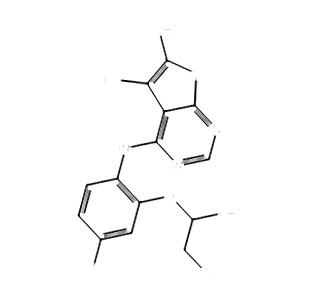 CCC(C)Oc1cc(F)ccc1Nc1ncnc2sc(C)c(C)c12